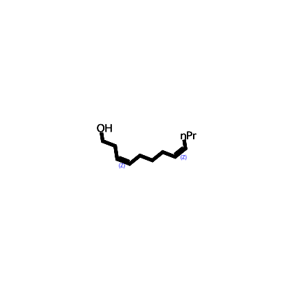 CCC/C=C\CCC/C=C\CCO